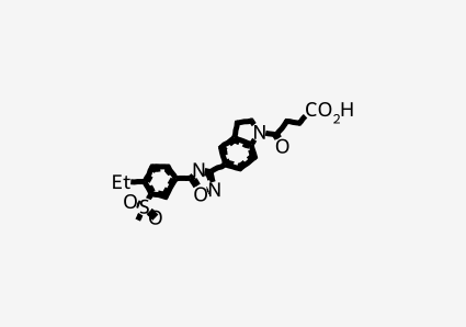 CCc1ccc(-c2nc(-c3ccc4c(c3)CCN4C(=O)CCC(=O)O)no2)cc1S(C)(=O)=O